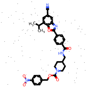 CC(C)c1cc(C#N)cc2nc(-c3ccc(C(=O)NCC4CCN(C(=O)OCc5ccc([N+](=O)[O-])cc5)CC4)cc3)oc12